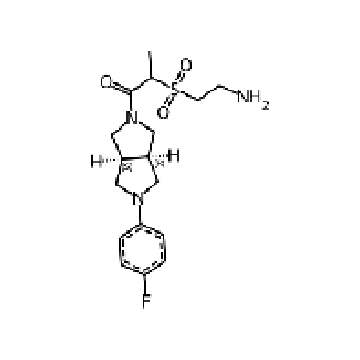 CC(C(=O)N1C[C@@H]2CN(c3ccc(F)cc3)C[C@@H]2C1)S(=O)(=O)CCN